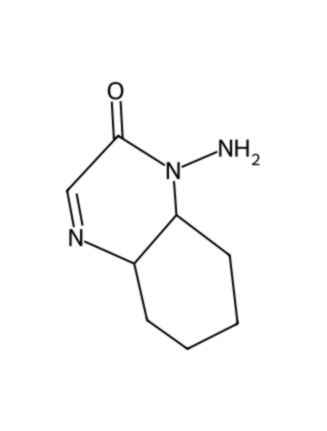 NN1C(=O)C=NC2CCCCC21